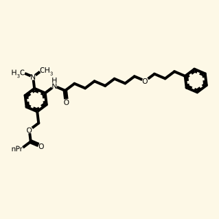 CCCC(=O)OCc1ccc(N(C)C)c(NC(=O)CCCCCCCOCCCc2ccccc2)c1